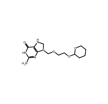 Nc1nc2c(c(=O)[nH]1)NCN2COCCOC1CCCCO1